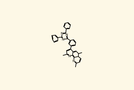 CC1=NC2=c3nc(C)cc(-c4cccc(-c5nc(-c6ccccc6)nc(-c6ccccc6)n5)c4)c3=CC(C)C2C=C1